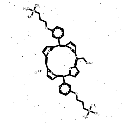 CCCCCCCCCCCC1=C2C=CC(=N2)C(c2cccc(OCCC[N+](C)(C)C)c2)=C2C=CC(=N2)C=C2C=CC(=N2)C(c2cccc(OCCC[N+](C)(C)C)c2)=C2C=CC1=N2.[Cl-].[Cl-]